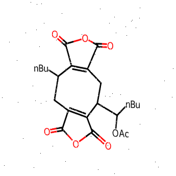 CCCCC1CC2=C(C(=O)OC2=O)C(C(CCCC)OC(C)=O)CC2=C1C(=O)OC2=O